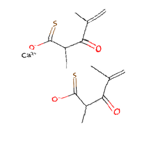 C=C(C)C(=O)C(C)C([O-])=S.C=C(C)C(=O)C(C)C([O-])=S.[Ca+2]